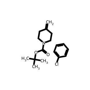 C=C1CCN(C(=O)OC(C)(C)C)CC1.Clc1ccccc1